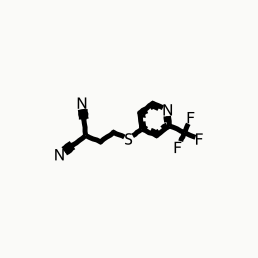 N#CC(C#N)CCSc1ccnc(C(F)(F)F)c1